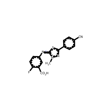 Cn1nc(-c2ccc(C#N)cc2)s/c1=N/c1ccc(F)c(C(=O)O)c1